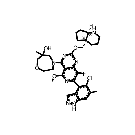 COc1nc(-c2c(Cl)c(C)cc3[nH]ncc23)c(F)c2nc(OC[C@@]34CCCN[C@@H]3CCC4)nc(N3CCOCC(C)(O)C3)c12